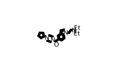 CCN(CC)CCn1ccc2cc(C(=O)N3CCN(C4CCCC4)CC3)ccc21